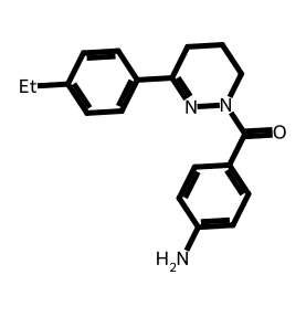 CCc1ccc(C2=NN(C(=O)c3ccc(N)cc3)CCC2)cc1